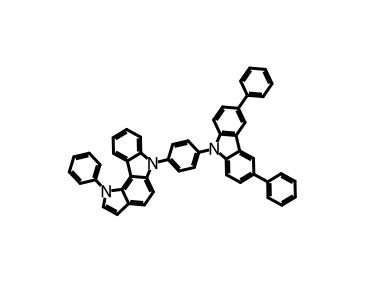 c1ccc(-c2ccc3c(c2)c2cc(-c4ccccc4)ccc2n3-c2ccc(-n3c4ccccc4c4c5c(ccc43)ccn5-c3ccccc3)cc2)cc1